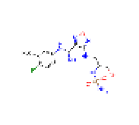 Cc1cc(NC(=N)c2nonc2NCC(CO)NS(N)(=O)=O)ccc1F